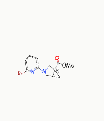 COC(=O)[C@]12CC1CN(c1cccc(Br)n1)C2